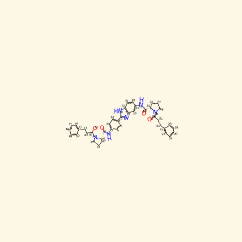 O=C(Nc1ccc(-c2nc3cc(NC(=O)[C@@H]4CCCN4C(=O)CCc4ccccc4)ccc3[nH]2)cc1)[C@@H]1CCCN1C(=O)CCc1ccccc1